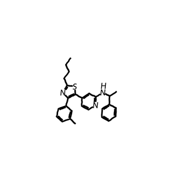 CCCCc1nc(-c2cccc(C)c2)c(-c2ccnc(NC(C)c3ccccc3)c2)s1